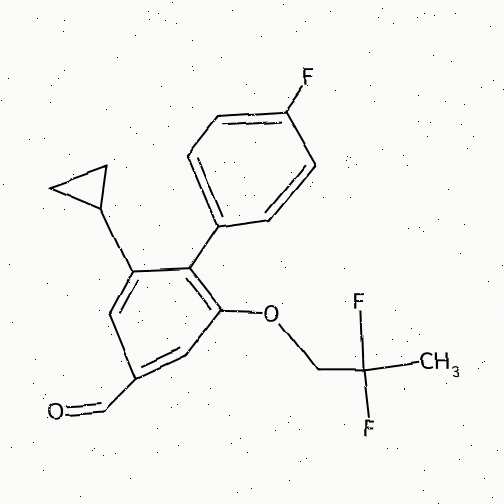 CC(F)(F)COc1cc(C=O)cc(C2CC2)c1-c1ccc(F)cc1